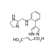 O=C(O)/C=C/C(=O)O.c1ccc(-c2cn[nH]c2)c(NCC2=NCCN2)c1